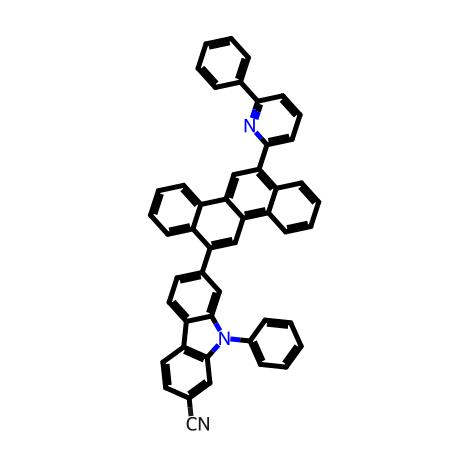 N#Cc1ccc2c3ccc(-c4cc5c6ccccc6c(-c6cccc(-c7ccccc7)n6)cc5c5ccccc45)cc3n(-c3ccccc3)c2c1